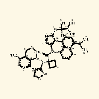 Cc1ccc(-n2cnnc2SC2(C(=O)Oc3nnc(SC(C)(C)C(O)O)n3-c3ccc(C(C)C)c4ccccc34)CCC2)c2c1CCCC2